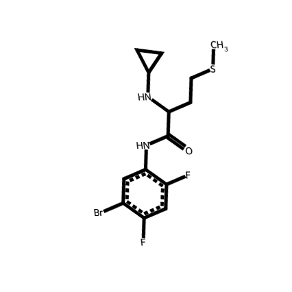 CSCCC(NC1CC1)C(=O)Nc1cc(Br)c(F)cc1F